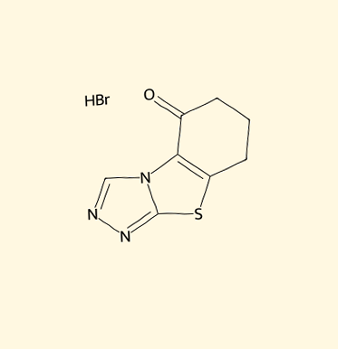 Br.O=C1CCCc2sc3nncn3c21